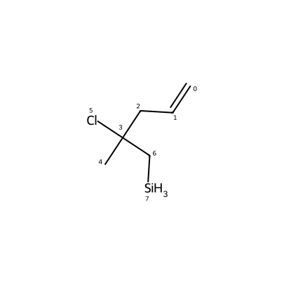 C=CCC(C)(Cl)C[SiH3]